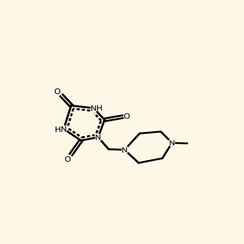 CN1CCN(Cn2c(=O)[nH]c(=O)[nH]c2=O)CC1